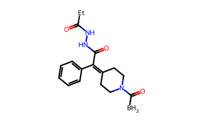 BC(=O)N1CCC(=C(C(=O)NNC(=O)CC)c2ccccc2)CC1